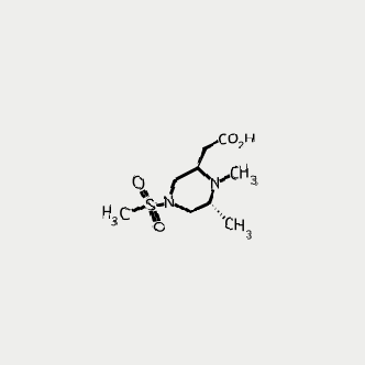 C[C@@H]1CN(S(C)(=O)=O)C[C@@H](CC(=O)O)N1C